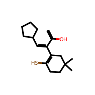 C=C(O)/C(=C\C1CCCC1)C1=C(S)CCC(C)(C)C1